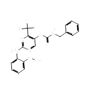 COc1ccccc1Nc1ncc(OC(=O)NCc2ccccc2)c(C(F)(F)F)n1